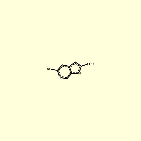 N#Cc1cc2cc(C=O)[nH]c2cn1